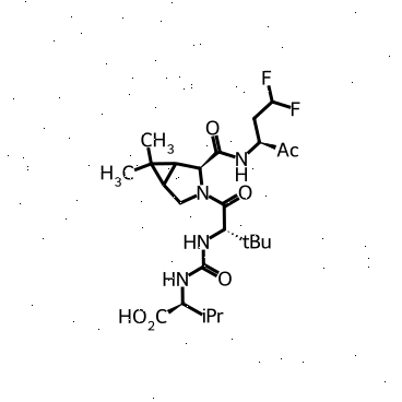 CC(=O)[C@H](CC(F)F)NC(=O)[C@@H]1C2C(CN1C(=O)[C@@H](NC(=O)N[C@H](C(=O)O)C(C)C)C(C)(C)C)C2(C)C